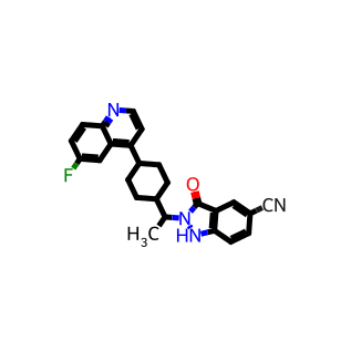 CC(C1CCC(c2ccnc3ccc(F)cc23)CC1)n1[nH]c2ccc(C#N)cc2c1=O